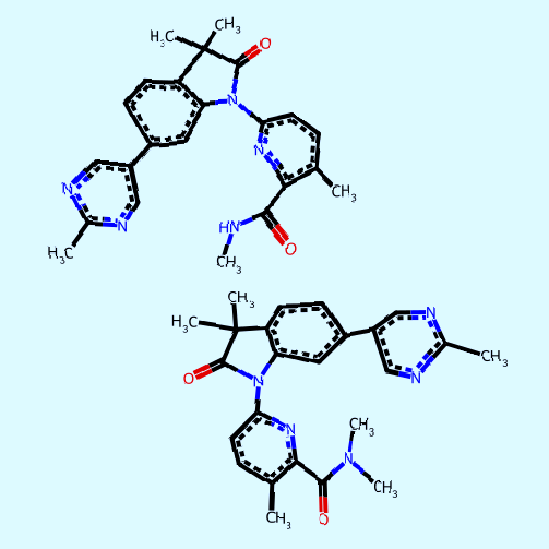 CNC(=O)c1nc(N2C(=O)C(C)(C)c3ccc(-c4cnc(C)nc4)cc32)ccc1C.Cc1ncc(-c2ccc3c(c2)N(c2ccc(C)c(C(=O)N(C)C)n2)C(=O)C3(C)C)cn1